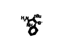 CCCC/C(C(N)N)=[P+](\[O-])c1ccccc1